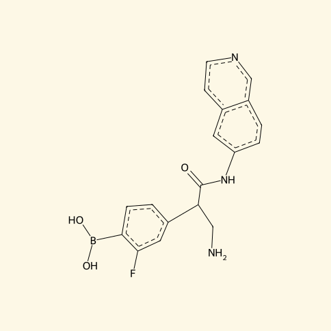 NCC(C(=O)Nc1ccc2cnccc2c1)c1ccc(B(O)O)c(F)c1